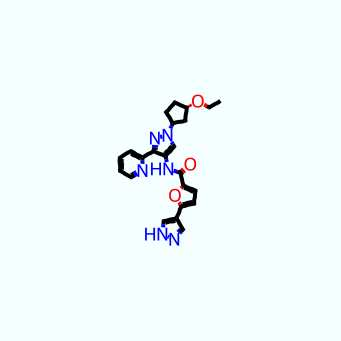 CCO[C@@H]1CCC(n2cc(NC(=O)c3ccc(-c4cn[nH]c4)o3)c(-c3ccccn3)n2)C1